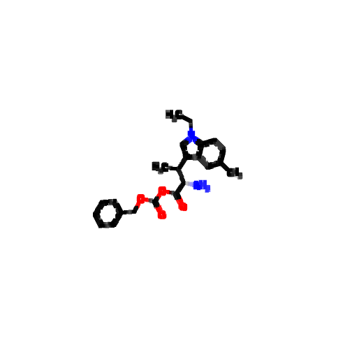 CCn1cc(C(C)[C@H](N)C(=O)OC(=O)OCc2ccccc2)c2cc(C)ccc21